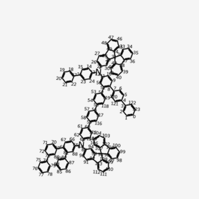 c1ccc(-c2ccc(-c3ccc(N(c4ccc(-c5ccccc5)cc4)c4ccc5c(c4)C4(c6ccccc6-c6ccccc64)c4ccccc4-5)cc3-c3ccc(-c4ccc(-c5ccc(N(c6ccc(-c7cccc(-c8ccccc8)c7)c(-c7ccccc7)c6)c6ccc7c(c6)C6(c8ccccc8-c8ccccc86)c6ccccc6-7)cc5)cc4)cc3)cc2)cc1